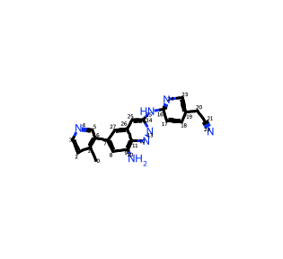 Cc1ccncc1-c1cc(N)c2nnc(Nc3ccc(CC#N)cn3)cc2c1